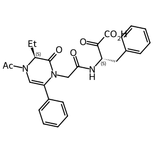 CC[C@H]1C(=O)N(CC(=O)N[C@@H](Cc2ccccc2)C(=O)C(=O)O)C(c2ccccc2)=CN1C(C)=O